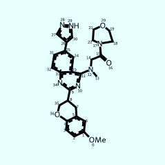 COc1ccc2c(c1)CC(c1nc(N(C)CC(=O)N3CCOCC3)c3cc(-c4cn[nH]c4)ccc3n1)CO2